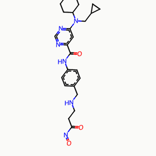 O=NC(=O)CCNCc1ccc(NC(=O)c2cc(N(CC3CC3)C3CCCCC3)ncn2)cc1